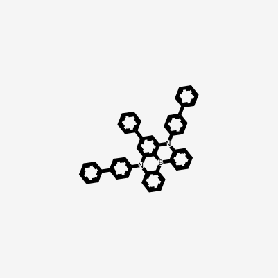 c1ccc(-c2ccc(N3c4ccccc4B4c5ccccc5N(c5ccc(-c6ccccc6)cc5)c5cc(-c6ccccc6)cc3c54)cc2)cc1